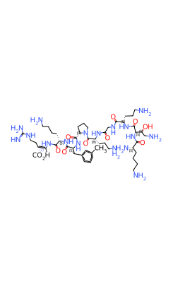 Cc1cccc(C[C@H](NC(=O)[C@@H]2CCCN2C(=O)[C@@H](CCCN)NC(=O)CNC(=O)[C@H](CCCN)NC(=O)[C@@H](NC(=O)[C@@H](N)CCCCN)[C@@H](O)CN)C(=O)N[C@@H](CCCCN)C(=O)N/C(=C\CCNC(=N)N)C(=O)O)c1